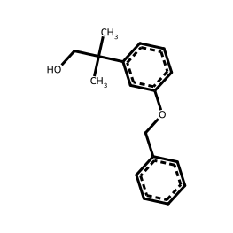 CC(C)(CO)c1cccc(OCc2ccccc2)c1